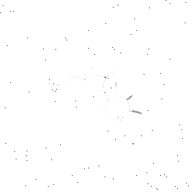 C=CC(=O)OCC([SiH3])(OCCOC)OCCOC